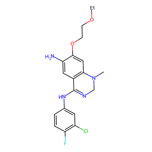 CCOCCOc1cc2c(cc1N)C(Nc1ccc(F)c(Cl)c1)=NCN2C